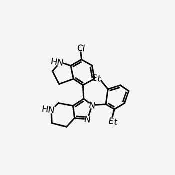 CCc1cccc(CC)c1-n1nc2c(c1-c1ccc(Cl)c3c1CCN3)CNCC2